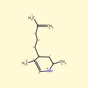 C=C(C)CCCC1CC(C)NC=C1C